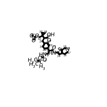 CC(C)(C)OC(=O)NCC(C(=O)Nc1cc2ccncc2s1)c1ccc(CC(C(=O)O)C2(CO[N+](=O)[O-])CC2)cc1